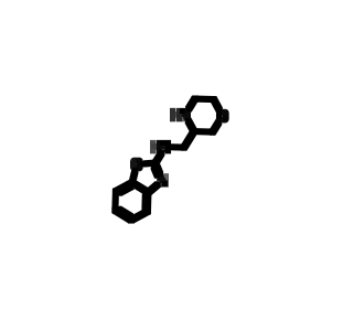 c1ccc2oc(NCC3COCCN3)nc2c1